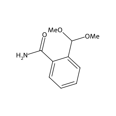 COC(OC)c1ccccc1C(N)=O